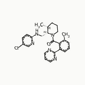 Cc1cccc(-c2ncccn2)c1C(=O)N1CCC[C@@H](C)[C@H]1CNc1ccc(Cl)cn1